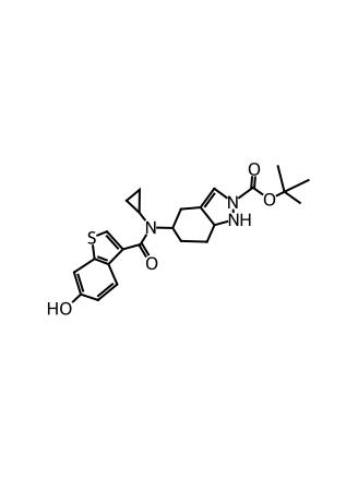 CC(C)(C)OC(=O)N1C=C2CC(N(C(=O)c3csc4cc(O)ccc34)C3CC3)CCC2N1